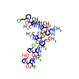 CNCC1CCCCN1C(=O)c1c(C)nn(C)c1C.COCC1CCCCN1C(=O)c1c(C)nn(C)c1C.Cc1nn(C)c(C)c1C(=O)N1CCCCC1CCCl.Cn1cc(C(=O)N2CCC[C@H]2CCl)c(C(F)F)n1.Cn1cc(C(=O)N2CCC[C@H]2CO)c(C(F)F)n1